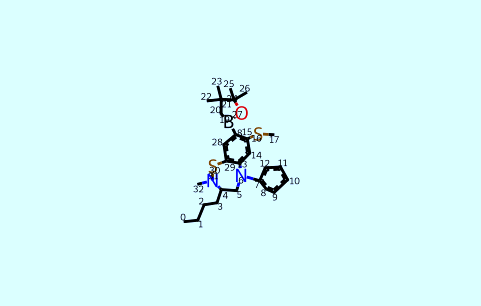 CCCCC1CN(c2ccccc2)c2cc(SC)c(B3CC(C)(C)C(C)(C)O3)cc2SN1C